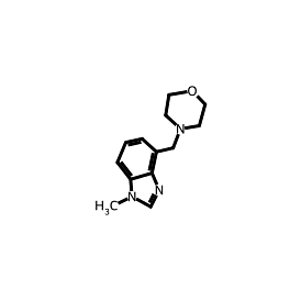 Cn1cnc2c(CN3CCOCC3)cccc21